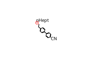 CCCCCCCOCCc1ccc(-c2ccc(C#N)cc2)cc1